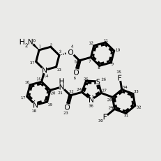 N[C@H]1C[C@H](OC(=O)c2ccccc2)CN(c2ccncc2NC(=O)c2csc(-c3c(F)cccc3F)n2)C1